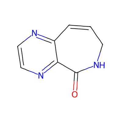 O=C1NCC=Cc2nccnc21